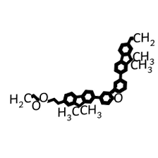 C=CC(=O)OCCCc1ccc2c(c1)C(C)(C)c1cc(-c3ccc4oc5ccc(-c6ccc7c(c6)C(C)(C)c6cc(C=C)ccc6-7)cc5c4c3)ccc1-2